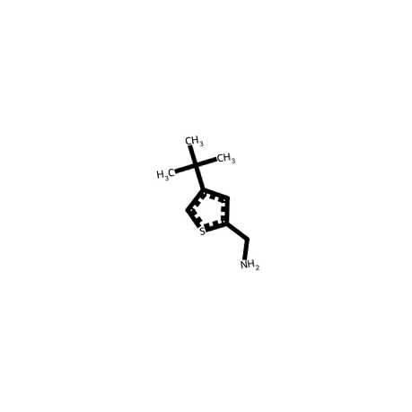 CC(C)(C)c1csc(CN)c1